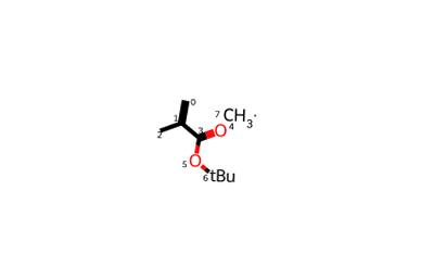 C=C(C)C(=O)OC(C)(C)C.[CH3]